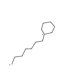 [CH2]CCCCCC[C]1CCCCC1